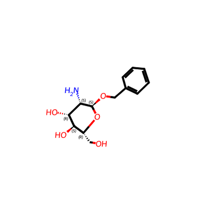 N[C@@H]1[C@@H](OCc2ccccc2)O[C@H](CO)[C@@H](O)[C@@H]1O